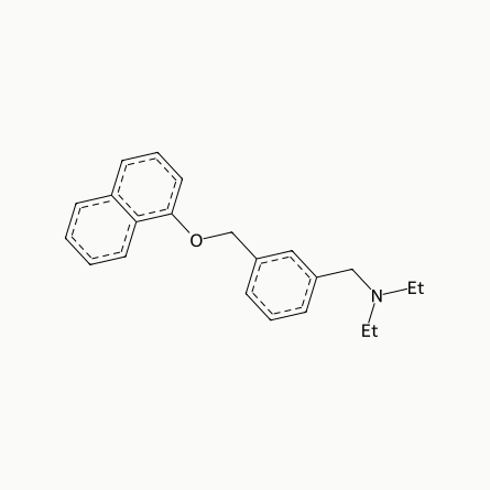 CCN(CC)Cc1cccc(COc2cccc3ccccc23)c1